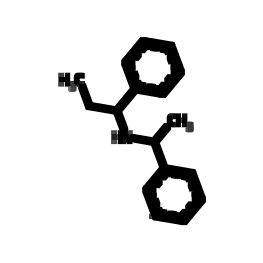 CCC(NC(C)c1c[c]ccc1)c1ccccc1